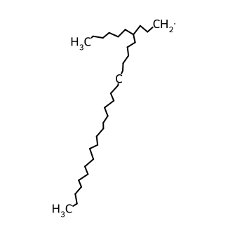 [CH2]CCC(CCCCCC)CCCCCCCCCCCCCCCCCCCCCCCC